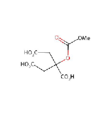 COC(=O)OC(CC(=O)O)(CC(=O)O)C(=O)O